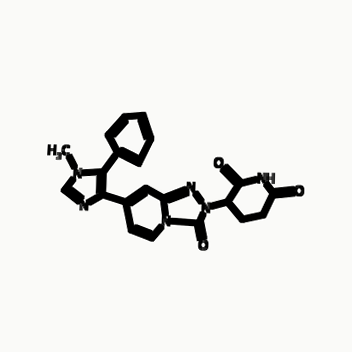 Cn1cnc(-c2ccn3c(=O)n(C4CCC(=O)NC4=O)nc3c2)c1-c1ccccc1